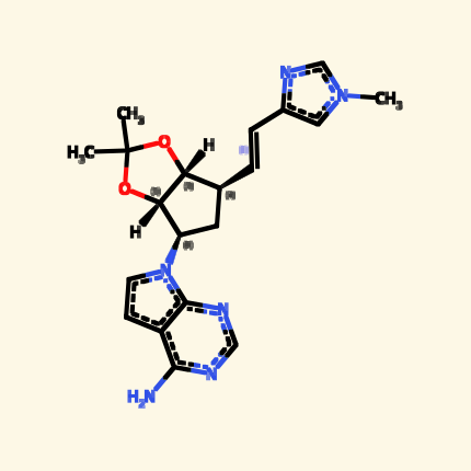 Cn1cnc(/C=C/[C@H]2C[C@@H](n3ccc4c(N)ncnc43)[C@@H]3OC(C)(C)O[C@@H]32)c1